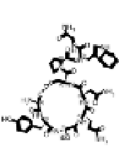 CC[C@H](C)[C@@H]1NC(=O)[C@H](Cc2ccc(O)cc2)NC(=O)[C@@H](N)CSSC[C@@H](C(=O)N2CCC[C@H]2C(=O)N[C@@H](Cc2c[nH]c3ccccc23)C(=O)NCC(N)=O)NC(=O)[C@@H](CC(N)=O)NC(=O)[C@H](CCC(N)=O)NC1=O